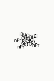 CCCC(=O)O[C@H]1[C@@H](OC(=O)C(C)CC)OC(OC(=O)CCl)[C@H](OC(=O)CCC)[C@H]1OC(=O)CCC